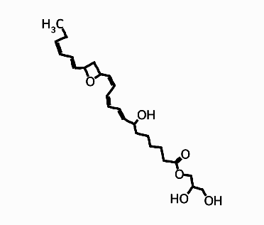 CC/C=C\C=C\C1CC(\C=C/C=C\C=C\C(O)CCCCCC(=O)OCC(O)CO)O1